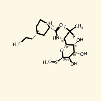 CCC[C@@H]1CCN[C@H](C(=O)N[C@@H]([C@H]2O[C@H](SC)[C@H](O)[C@@H](O)[C@H]2O)C(C)(F)F)C1